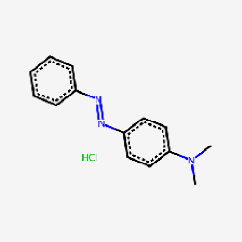 CN(C)c1ccc(N=Nc2ccccc2)cc1.Cl